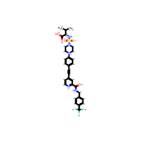 CC(C)[C@@H](NS(=O)(=O)N1CCN(c2ccc(C#Cc3ccnc(C(=O)NCc4ccc(C(F)(F)F)cc4)c3)cc2)CC1)C(=O)O